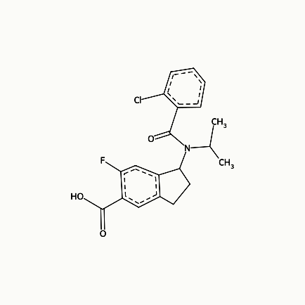 CC(C)N(C(=O)c1ccccc1Cl)C1CCc2cc(C(=O)O)c(F)cc21